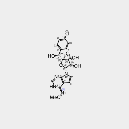 CO/N=c1\[nH]cnc2c1ccn2[C@@H]1O[C@H](C(O)c2ccc(Cl)cc2)[C@@](C)(O)[C@H]1O